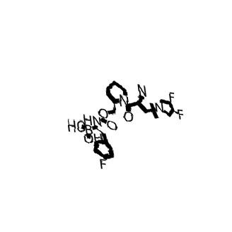 CC(C)(C=C(C#N)C(=O)N1CCCC[C@@H]1COC(=O)N[C@@H](Cc1ccc(F)cc1)B(O)O)N1C[C@@H](F)[C@@H](F)C1